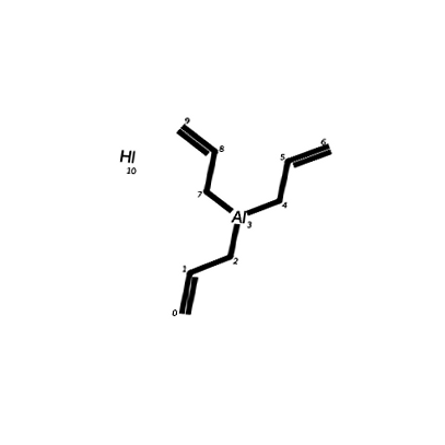 C=C[CH2][Al]([CH2]C=C)[CH2]C=C.I